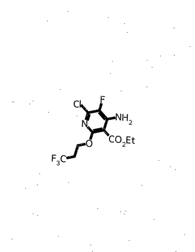 CCOC(=O)c1c(OCCC(F)(F)F)nc(Cl)c(F)c1N